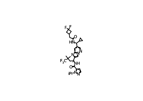 CC(C)n1nccc1C(=O)N[C@@H](CC(C)(C)C(F)(F)F)c1cn2ncc(C(NC(=O)CC3CC(F)(F)C3)C3CC3)cc2n1